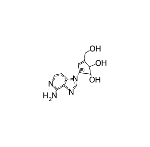 Nc1nccc2c1ncn2[C@@H]1C=C(CO)C(O)C1O